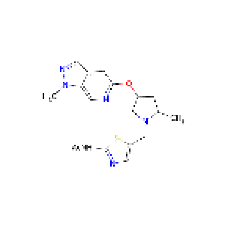 CC(=O)Nc1ncc(CN2CC(Oc3cc4cnn(C)c4cn3)CC2C)s1